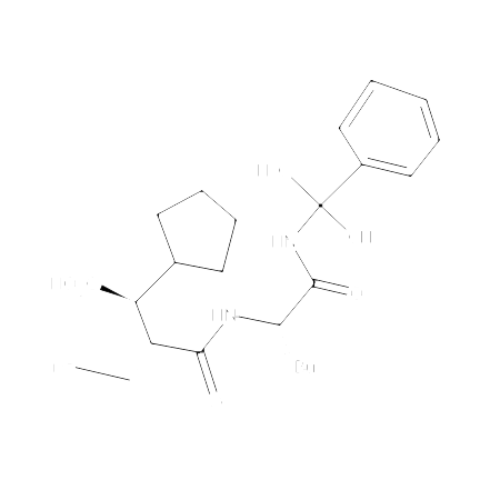 CC(C)C[C@@H](C(=O)N[C@H](C(=O)NC(C)(C)c1ccccc1)C(C)(C)C)[C@@H](C(=O)O)C1CCCC1